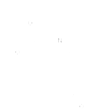 CCOC(=O)c1c2c3c(cccc3n1C)C(=O)CCC2